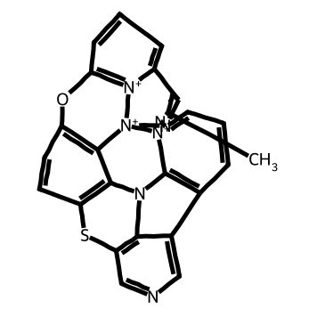 Cc1cc2n(n1)[N+]13c4c(ccc5c4-n4c6c(cncc6c6ccc[n+]1c64)S5)Oc1cccc-2[n+]13